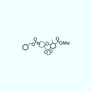 COC(=O)c1ccc2c(c1C)OC1(CCN(C(=O)OCc3ccccc3)CC1)CC21OCCO1